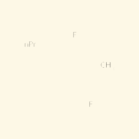 CCCC1=C(F)C(C)C(F)C=C1